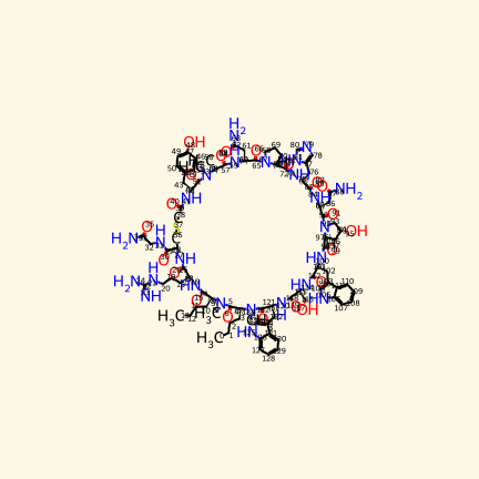 CCCC[C@H]1C(=O)N(C)[C@@H](CCCC)C(=O)N[C@@H](CCCNC(=N)N)C(=O)NC(C(=O)NCC(N)=O)CSCC(=O)N[C@@H](Cc2ccc(O)cc2)C(=O)N(C)[C@@H](C)C(=O)N[C@@H](CC(N)=O)C(=O)N2CCC[C@H]2C(=O)N[C@@H](Cc2cnc[nH]2)C(=O)N[C@@H](CC(N)=O)C(=O)N2C[C@H](O)C[C@H]2C(=O)N[C@@H](Cc2c[nH]c3ccccc23)C(=O)N[C@@H](CO)C(=O)N[C@@H](Cc2c[nH]c3ccccc23)C(=O)N1C